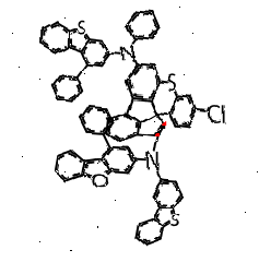 Clc1ccc2c(c1)Sc1cc(N(c3ccccc3)c3cc(-c4ccccc4)c4c(c3)sc3ccccc34)cc3c1C21c2cccc(N(c4cc(-c5ccccc5)c5c(c4)oc4ccccc45)c4ccc5sc6ccccc6c5c4)c2-c2cccc-3c21